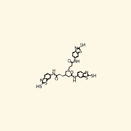 O=C(CCSCC(CCC(=O)Nc1ccc2nc(S)sc2c1)CC(=O)Nc1ccc2nc(S)sc2c1)Nc1ccc2nc(S)sc2c1